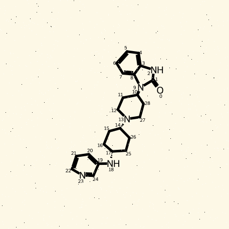 O=c1[nH]c2ccccc2n1C1CCN([C@H]2CC[C@@H](Nc3cccnc3)CC2)CC1